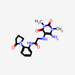 Cn1c(N)c(NCC(=O)Nc2ccccc2N2CCCC2=O)c(=O)n(C)c1=O